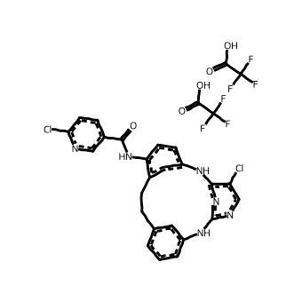 O=C(Nc1ccc2cc1CCc1cccc(c1)Nc1ncc(Cl)c(n1)N2)c1ccc(Cl)nc1.O=C(O)C(F)(F)F.O=C(O)C(F)(F)F